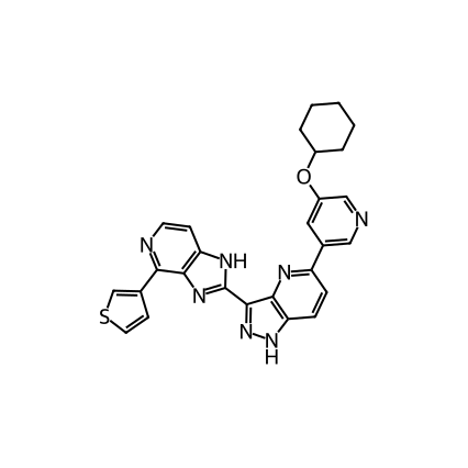 c1cc2[nH]c(-c3n[nH]c4ccc(-c5cncc(OC6CCCCC6)c5)nc34)nc2c(-c2ccsc2)n1